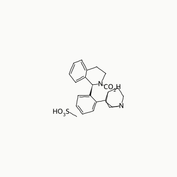 CS(=O)(=O)O.O=C(O)N1CCc2ccccc2[C@@H]1c1ccccc1C1CN2CCC1CC2